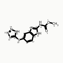 COC(=O)Nc1nc2cc(Sc3nnn[nH]3)ccc2[nH]1